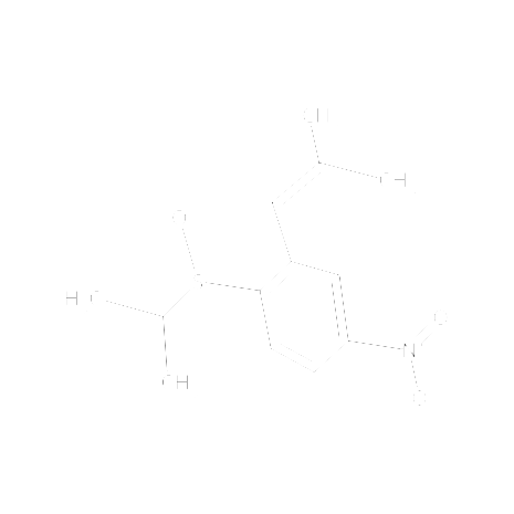 CC(C)=Cc1cc([N+](=O)[O-])ccc1[S+]([O-])C(C)C